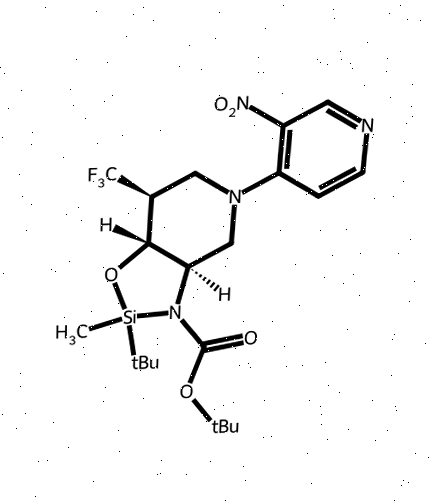 CC(C)(C)OC(=O)N1[C@@H]2CN(c3ccncc3[N+](=O)[O-])C[C@H](C(F)(F)F)[C@H]2O[Si]1(C)C(C)(C)C